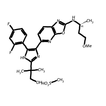 COCC[C@@H](C)Nc1nc2ccc(-c3nc(C(C)(C)CO)[nH]c3-c3ccc(F)cc3F)nc2o1.CS(=O)(=O)O